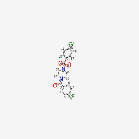 O=C(c1ccc(F)cc1)N1CCN(S(=O)(=O)c2ccc(Cl)cc2)CC1